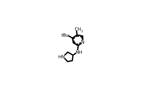 Cc1cnc(NC2CCNC2)cc1C(C)(C)C